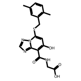 Cc1ccc(C)c(CSc2cc(O)c(C(=O)NCC(=O)O)c3ncnn23)c1